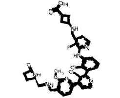 COc1nc(-c2ccnc(-c3cccc(Nc4nccc(CNC5CC(C(=O)O)C5)c4F)c3Cl)c2Cl)ccc1CNC[C@H]1CCC(=O)N1